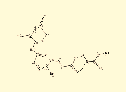 CC(C)(C)OC(=O)N1CC=C(COc2cc(NC3CCC(=O)NC3=O)ccc2Br)CC1